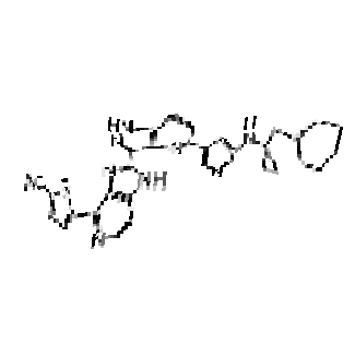 CC(=O)c1ccc(-c2nccc3[nH]c(-c4n[nH]c5ccc(-c6cncc(NC(=O)CC7CCCCC7)c6)nc45)nc23)s1